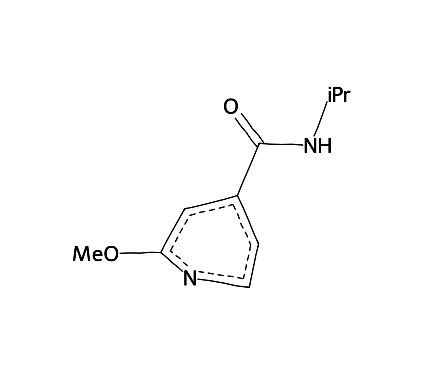 COc1cc(C(=O)NC(C)C)ccn1